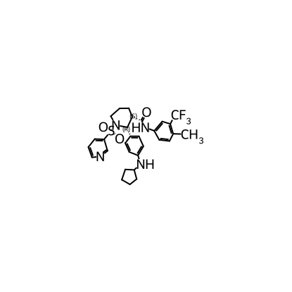 Cc1ccc(NC(=O)[C@H]2CCCN(S(=O)(=O)c3cccnc3)[C@H]2c2ccc(NC3CCCC3)cc2)cc1C(F)(F)F